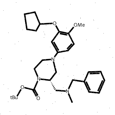 COc1ccc(N2CCN(C(=O)OC(C)(C)C)[C@@H](CN(C)Cc3ccccc3)C2)cc1OC1CCCC1